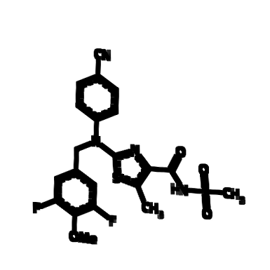 COc1c(F)cc(CN(c2ccc(C#N)cc2)c2nc(C(=O)NS(C)(=O)=O)c(C)s2)cc1F